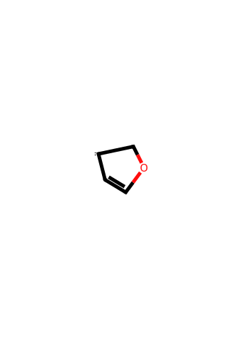 [C]1C=COC1